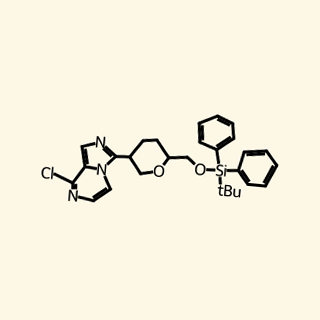 CC(C)(C)[Si](OCC1CCC(c2ncc3c(Cl)nccn23)CO1)(c1ccccc1)c1ccccc1